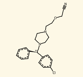 N#CCOCCN1CCN([C@H](c2ccccc2)c2ccc(Cl)cc2)CC1